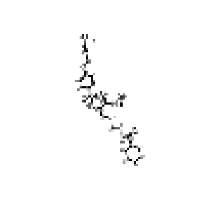 CC#CCOc1ccc(S(=O)(=O)N[C@H](CCCCNC(=O)C2CCCCC2)C(=O)NO)cc1